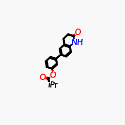 CC(C)C(=O)Oc1cccc(-c2ccc3c(c2)CCC(=O)N3)c1